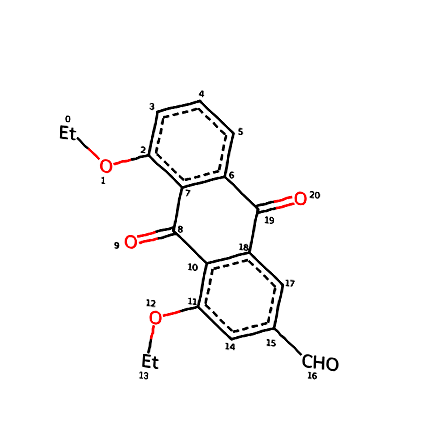 CCOc1cccc2c1C(=O)c1c(OCC)cc(C=O)cc1C2=O